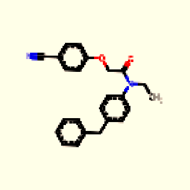 CCN(C(=O)COc1ccc(C#N)cc1)c1ccc(Cc2ccccc2)cc1